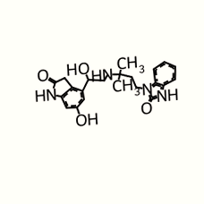 CC(C)(CCn1c(=O)[nH]c2ccccc21)NCC(O)c1cc(O)cc2c1CC(=O)N2